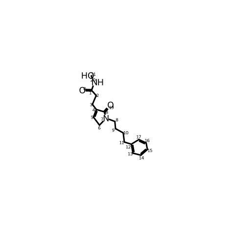 O=C(CCC1=CCN(CCCCc2ccccc2)C1=O)NO